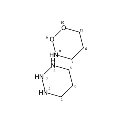 C1CNNNC1.C1CNOOC1